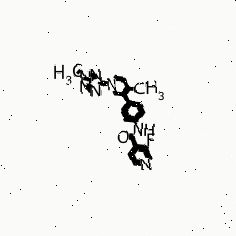 CC1=C(c2ccc(NC(=O)c3ccncc3F)cc2)CN(c2nnn(C)n2)CC1